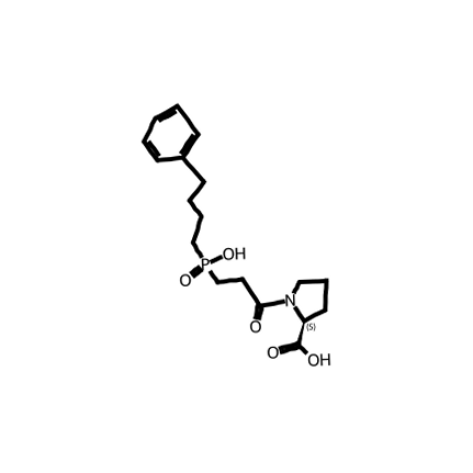 O=C(O)[C@@H]1CCCN1C(=O)CCP(=O)(O)CCCCc1ccccc1